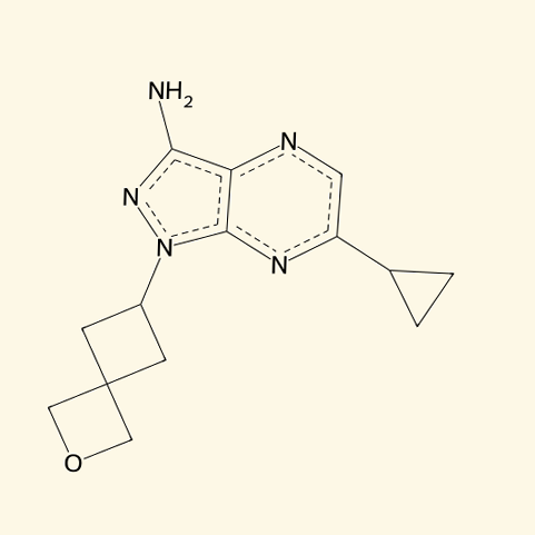 Nc1nn(C2CC3(COC3)C2)c2nc(C3CC3)cnc12